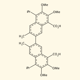 COc1c(OC)c(C(C)C)c2cc(C)c(-c3cc4c(C(=O)O)c(OC)c(OC)c(C(C)C)c4cc3C)cc2c1C(=O)O